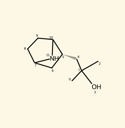 CC(C)(O)C[C@@H]1CC2CCC1N2